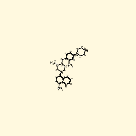 C[C@@H]1CN(c2ccc(N)c3ncccc23)C[C@H](C)N1Cc1ccc(N2CCNCC2)cc1